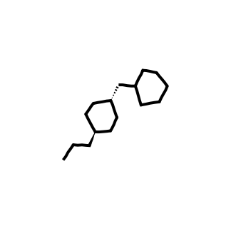 CCC[C@H]1CC[C@H](CC2CCCCC2)CC1